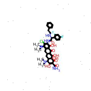 CN(C)c1c(Cl)c(NC(=O)C(NCCc2ccccc2)c2ccc(F)cc2F)c(O)c2c1CC1CC3[C@H](N(C)C)C(O)=C(C(N)=O)C(=O)C3(O)C(O)=C1C2=O